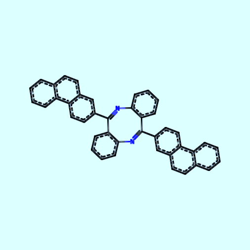 c1ccc2c(c1)/N=C(/c1ccc3c(ccc4ccccc43)c1)c1ccccc1/N=C\2c1ccc2c(ccc3ccccc32)c1